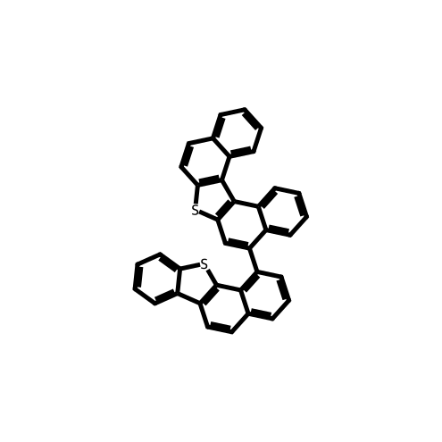 c1ccc2c(c1)ccc1sc3cc(-c4cccc5ccc6c7ccccc7sc6c45)c4ccccc4c3c12